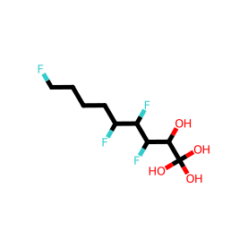 OC(C(F)C(F)C(F)CCCCF)C(O)(O)O